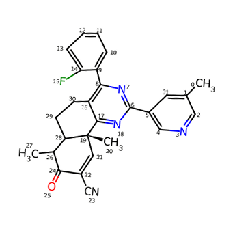 Cc1cncc(-c2nc(-c3ccccc3F)c3c(n2)[C@]2(C)C=C(C#N)C(=O)C(C)C2CC3)c1